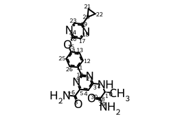 C[C@H](Nc1cc(C(N)=O)nc(-c2ccc(Oc3cnc(C4CC4)cn3)cc2)n1)C(N)=O